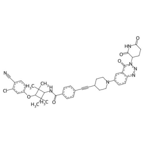 CC1(C)C(NC(=O)c2ccc(C#CC3CCN(c4ccc5nnn(C6CCC(=O)NC6=O)c(=O)c5c4)CC3)cc2)C(C)(C)C1Oc1ccc(C#N)c(Cl)c1